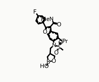 CNC(=O)c1c(-c2ccc(F)cc2)oc2cc(N(CC3COB(O)C3)S(C)(=O)=O)c(C(C)C)cc12